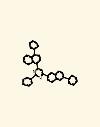 c1ccc(-c2ccc3cc(-c4cc(-c5ccc(-c6ccccc6)c6ccccc56)nc(-c5ccccc5)n4)ccc3c2)cc1